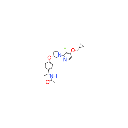 CC(=O)N[C@@H](C)c1ccc(O[C@@H]2CCN(c3nccc(OCC4CC4)c3F)C2)cc1